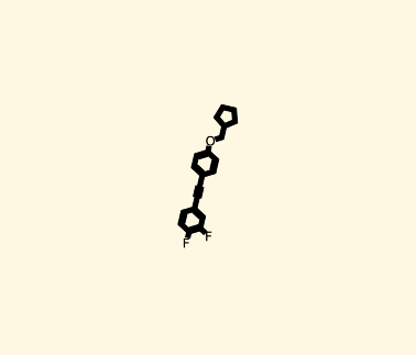 Fc1ccc(C#Cc2ccc(OCC3CCCC3)cc2)cc1F